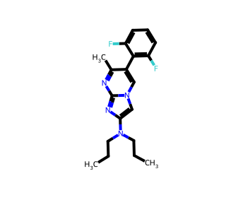 CCCN(CCC)c1cn2cc(-c3c(F)cccc3F)c(C)nc2n1